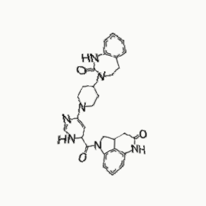 O=C1CC2CN(C(=O)C3C=C(N4CCC(N5CCc6ccccc6NC5=O)CC4)N=CN3)c3cccc(c32)N1